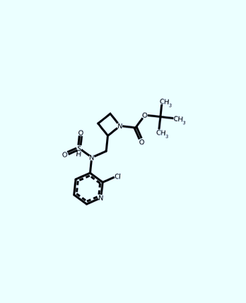 CC(C)(C)OC(=O)N1CCC1CN(c1cccnc1Cl)[SH](=O)=O